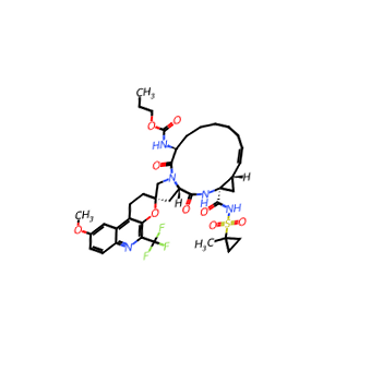 CCCOC(=O)N[C@H]1CCCCC/C=C\[C@@H]2C[C@@]2(C(=O)NS(=O)(=O)C2(C)CC2)NC(=O)[C@@H]2C[C@]3(CCc4c(c(C(F)(F)F)nc5ccc(OC)cc45)O3)CN2C1=O